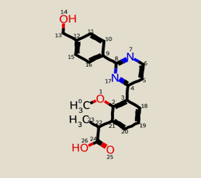 COc1c(-c2ccnc(-c3ccc(CO)cc3)n2)cccc1C(C)C(=O)O